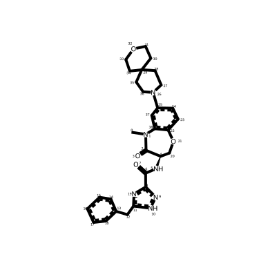 CN1C(=O)[C@H](NC(=O)c2n[nH]c(Cc3ccccc3)n2)COc2ccc(N3CCC4(CCOCC4)CC3)cc21